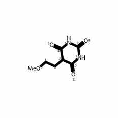 COCCC1C(=O)NC(=O)NC1=O